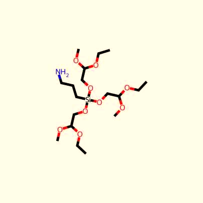 CCOC(CO[Si](CCCN)(OCC(OC)OCC)OCC(OC)OCC)OC